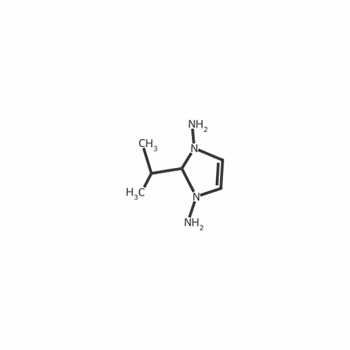 CC(C)C1N(N)C=CN1N